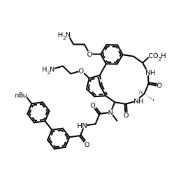 CCCCc1ccc(-c2cccc(C(=O)NCC(=O)N(C)C3C(=O)N[C@@H](C)C(=O)NC(C(=O)O)Cc4ccc(OCCN)c(c4)-c4cc3ccc4OCCN)c2)cc1